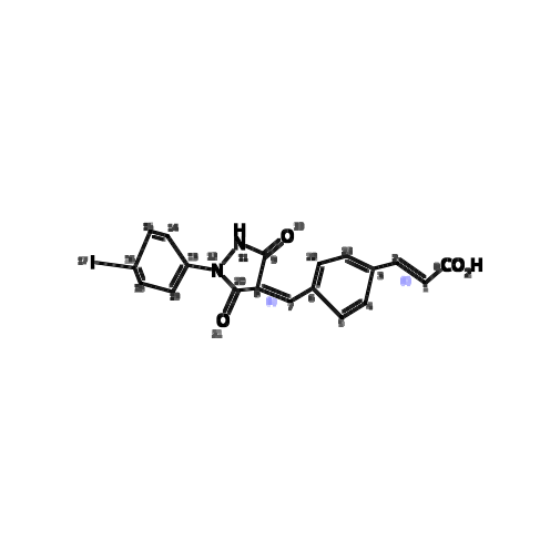 O=C(O)/C=C/c1ccc(/C=C2\C(=O)NN(c3ccc(I)cc3)C2=O)cc1